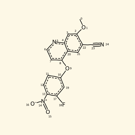 COc1cc2nccc(Oc3ccc([N+](=O)[O-])c(F)c3)c2cc1C#N